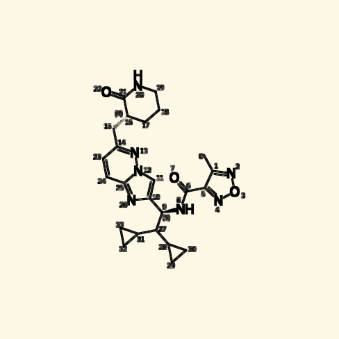 Cc1nonc1C(=O)N[C@H](c1cn2nc(C[C@H]3CCCNC3=O)ccc2n1)C(C1CC1)C1CC1